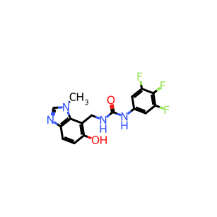 Cn1cnc2ccc(O)c(CNC(=O)Nc3cc(F)c(F)c(F)c3)c21